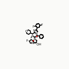 O=C(N1C[CH]C(O)C1)N(C[C@@H]1CNC[C@@H]1F)[C@@H](c1nc(-c2cc(F)ccc2F)cn1Cc1ccccc1)C1CCOCC1